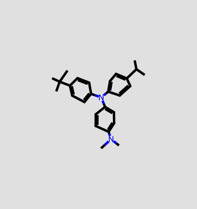 CC(C)c1ccc(N(c2ccc(N(C)C)cc2)c2ccc(C(C)(C)C)cc2)cc1